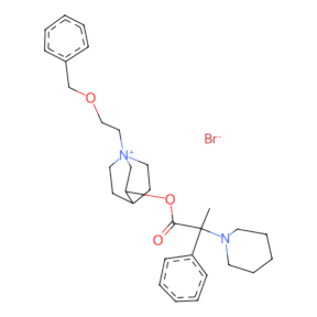 CC(C(=O)OC1C[N+]2(CCOCc3ccccc3)CCC1CC2)(c1ccccc1)N1CCCCC1.[Br-]